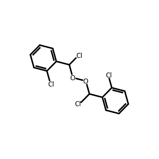 Clc1ccccc1C(Cl)OOC(Cl)c1ccccc1Cl